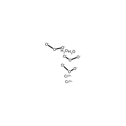 O.O.[Cr+3].[Cr+3].[O-]O[O-].[O-]O[O-].[O-]O[O-]